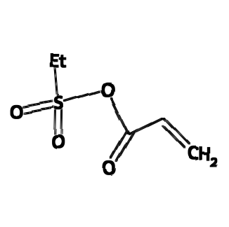 C=CC(=O)OS(=O)(=O)CC